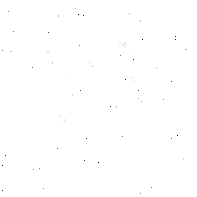 CC1/C=C\CNN(C)C(N)NC(Cl)CN1